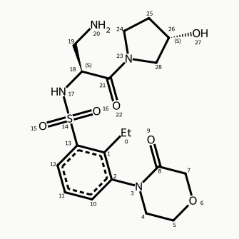 CCc1c(N2CCOCC2=O)cccc1S(=O)(=O)N[C@@H](CN)C(=O)N1CC[C@H](O)C1